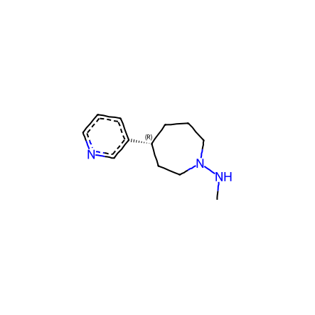 CNN1CCC[C@@H](c2cccnc2)CC1